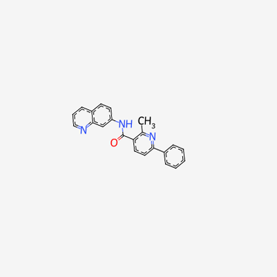 Cc1nc(-c2ccccc2)ccc1C(=O)Nc1ccc2cccnc2c1